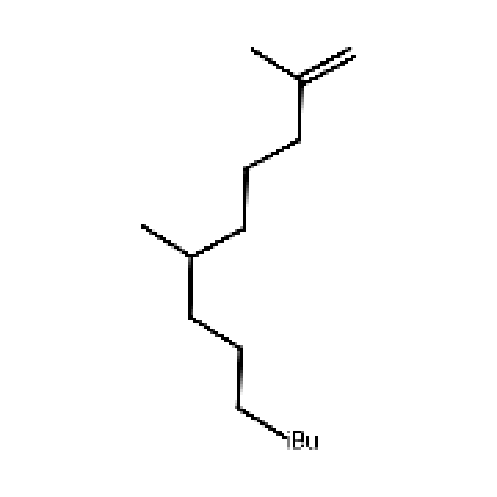 C=C(C)CCCC(C)CCCC(C)CC